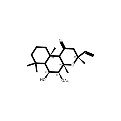 C=C[C@@]1(C)CC(=O)C2[C@@]3(C)CCCC(C)(C)C3[C@H](O)[C@H](OC(C)=O)[C@@]2(C)O1